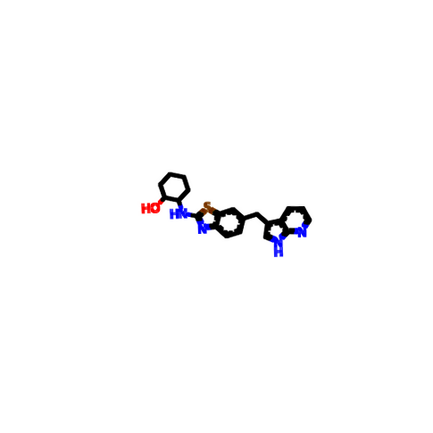 OC1CCCCC1Nc1nc2ccc(Cc3c[nH]c4ncccc34)cc2s1